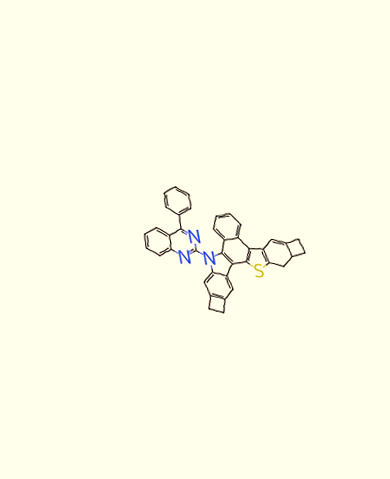 C1=C2CCC2Cc2sc3c(c21)c1ccccc1c1c3c2cc3c(cc2n1-c1nc(-c2ccccc2)c2ccccc2n1)CC3